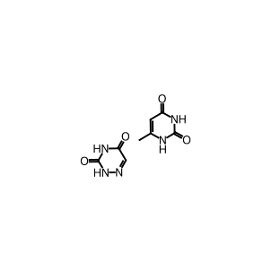 Cc1cc(=O)[nH]c(=O)[nH]1.O=c1cn[nH]c(=O)[nH]1